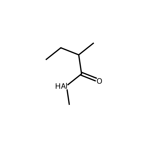 CCC(C)[C](=O)[AlH][CH3]